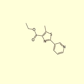 CCOC(=O)c1nc(-c2cccnc2)sc1C